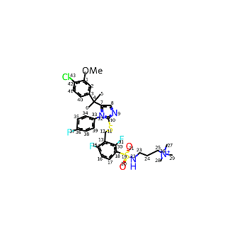 COc1cc(C(C)(C)c2cnc(SCc3c(F)ccc(S(=O)(=O)NCCC[N+](C)(C)C)c3F)n2-c2ccc(F)cc2)ccc1Cl